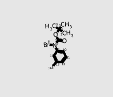 CC(C)(C)OC(=O)N(Br)c1cccc(I)c1